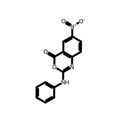 O=c1oc(Nc2ccccc2)nc2ccc([N+](=O)[O-])cc12